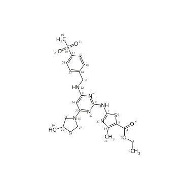 CCOC(=O)c1sc(Nc2nc(NCc3ccc(S(C)(=O)=O)cc3)cc(N3CCC(O)C3)n2)nc1C